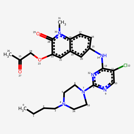 CCCCN1CCN(c2ncc(Cl)c(Nc3ccc4c(c3)cc(OCC(C)=O)c(=O)n4C)n2)CC1